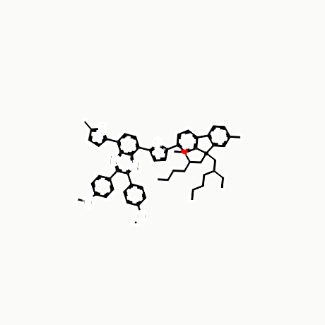 CCCCC(CC)CC1(CC(CC)CCCC)c2cc(C)ccc2-c2ccc(-c3ccc(-c4ccc(-c5ccc(C)s5)c5nc(-c6ccc(OC)cc6)c(-c6ccc(OC)cc6)nc45)s3)cc21